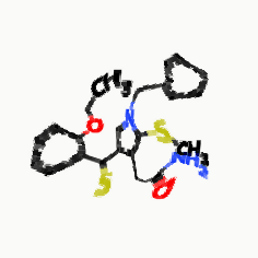 CCOc1ccccc1C(=S)c1cn(Cc2ccccc2)c(SC)c1CC(N)=O